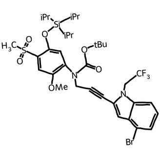 COc1cc(S(C)(=O)=O)c(O[Si](C(C)C)(C(C)C)C(C)C)cc1N(CC#Cc1cc2c(Br)cccc2n1CC(F)(F)F)C(=O)OC(C)(C)C